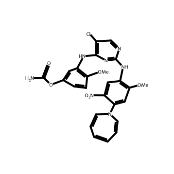 COc1cc(N2C=CC=CC=C2)c([N+](=O)[O-])cc1Nc1ncc(Cl)c(Nc2cc(OC(N)=O)ccc2OC)n1